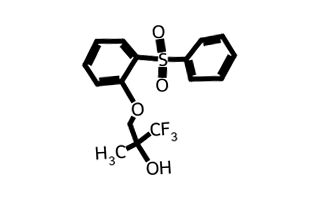 CC(O)(COc1ccccc1S(=O)(=O)c1ccccc1)C(F)(F)F